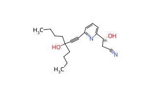 CCCCC(O)(C#Cc1cccc([C@H](O)CC#N)n1)CCCC